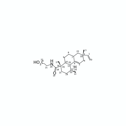 C=C[C@]1(C)CC=C2C(CCC3[C@@H]2[C@@H](C)CC[C@]3(C)C(=O)NCC(=O)O)C1